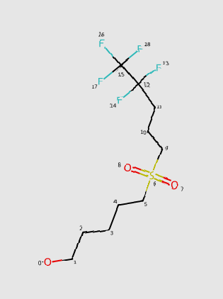 [O]CCCCCS(=O)(=O)CCCC(F)(F)C(F)(F)F